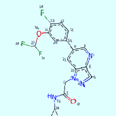 O=C(Cn1ncc2ncc(-c3ccc(F)c(OC(F)F)c3)cc21)NC1CC1